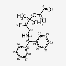 CC(C)(OC(Cl)C=O)C(F)CNC(c1ccccc1)c1ccccc1